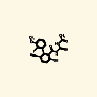 COc1cccc(-c2c(C#N)ccc(O)c2C(=O)NC(=N)NC(C)=O)c1F